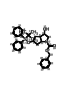 CC(C)(C)[Si](OC1CC2C(O)CN(C(=O)OCc3ccccc3)C2C1)(c1ccccc1)c1ccccc1